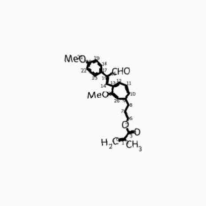 C=C(C)C(=O)OCCCC1C=CC=C(/C=C(\C=O)c2ccc(OC)cc2)C(OC)=C1